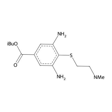 CNCCSc1c(N)cc(C(=O)OCC(C)C)cc1N